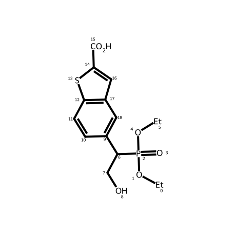 CCOP(=O)(OCC)C(CO)c1ccc2sc(C(=O)O)cc2c1